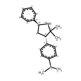 CN(C)c1ccc([C@@H]2C[C@@H](c3ccccc3)NC2(C)C)cc1